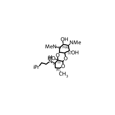 CN[C@@H]1[C@H](O)[C@H](NC)C2O[C@]3(O)C(OC2[C@H]1O)O[C@H](C)C[C@H]3NCCC(C)C